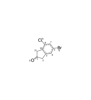 O=C1Cc2cc(Br)cc(Cl)c2C1